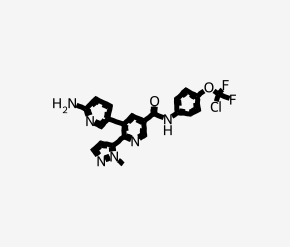 Cn1nccc1-c1ncc(C(=O)Nc2ccc(OC(F)(F)Cl)cc2)cc1-c1ccc(N)nc1